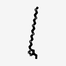 CCc1cn(CCOCCOCCOCCOCCOC)nn1